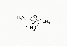 CCC1(CC)OCC(CN)O1